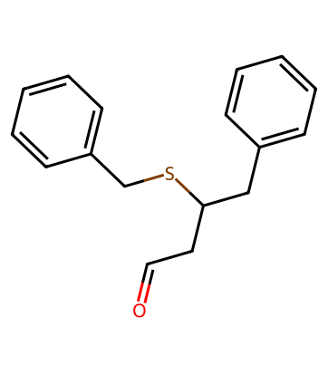 O=CCC(Cc1ccccc1)SCc1ccccc1